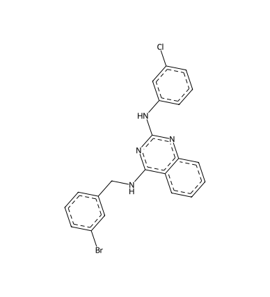 Clc1cccc(Nc2nc(NCc3cccc(Br)c3)c3ccccc3n2)c1